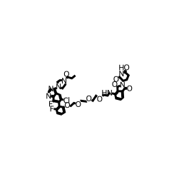 CCC(=O)N1CCN(c2ncnc3c(F)c(-c4c(F)cccc4OCCOCCOCCOCCNc4cccc5c4C(=O)N(C4CCC(=O)NC4=O)C5=O)c(Cl)cc23)CC1